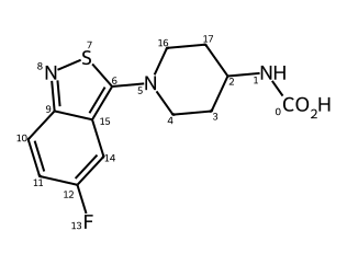 O=C(O)NC1CCN(c2snc3ccc(F)cc23)CC1